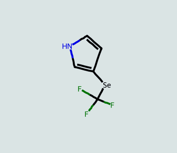 FC(F)(F)[Se]c1cc[nH]c1